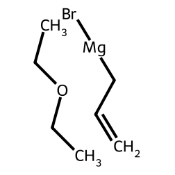 C=C[CH2][Mg][Br].CCOCC